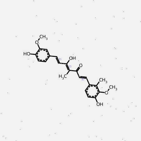 COc1cc(/C=C/C(O)=C(\C)C(=O)/C=C/c2ccc(O)c(OC)c2C)ccc1O